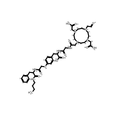 CCCCNC(=O)C(Cc1ccccc1)NC(=O)COc1ccc(CC(NC(=O)CNC(=O)CN2CCN(CC(=O)O)CCN(CC=O)CCN(CC(=O)O)CC2)C(=O)O)cc1